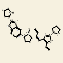 C=C/C(=C\c1nc([C@@H]2CCCN2)[nH]c1C=C)[C@@H]1CC[C@H](C(=C/C)/C=c2/nc([C@@H]3CCCN3)[nH]c2=C)N1C